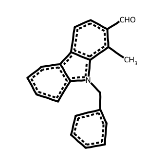 Cc1c(C=O)ccc2c3ccccc3n(Cc3ccccc3)c12